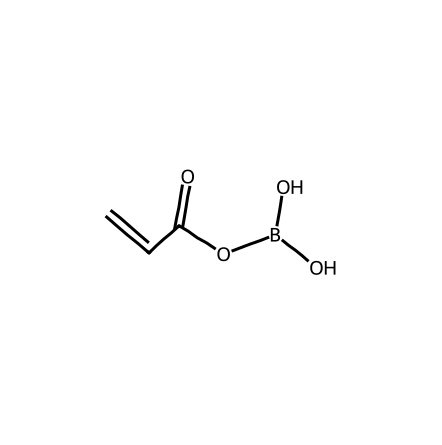 C=CC(=O)OB(O)O